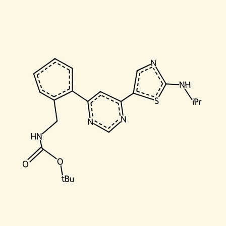 CC(C)Nc1ncc(-c2cc(-c3ccccc3CNC(=O)OC(C)(C)C)ncn2)s1